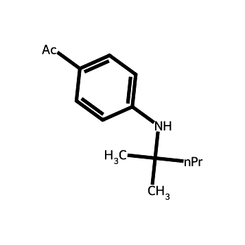 CCCC(C)(C)Nc1ccc(C(C)=O)cc1